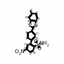 Cc1ccc2nc(-c3ccc(-c4cc([N+](=O)[O-])ccc4S(N)(=O)=O)cc3)sc2c1